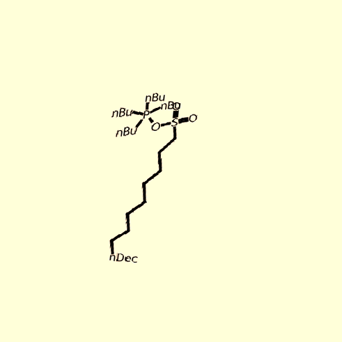 CCCCCCCCCCCCCCCCCCS(=O)(=O)OP(CCCC)(CCCC)(CCCC)CCCC